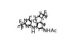 CC(=O)Nc1cc(Nc2cc(C)nc(C(C)(F)F)n2)c(OCC2CC(F)(F)C2)cn1